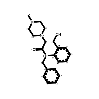 CN1CCN(CC(=O)N(Cc2ccccc2)c2ccccc2CO)CC1